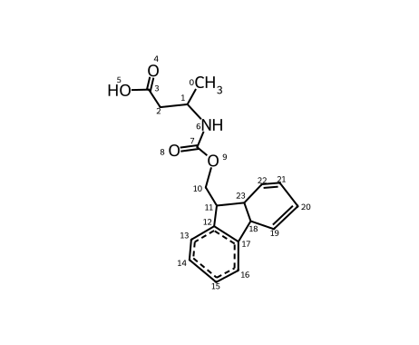 CC(CC(=O)O)NC(=O)OCC1c2ccccc2C2C=CC=CC21